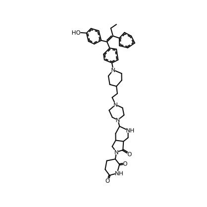 CC/C(=C(\c1ccc(O)cc1)c1ccc(N2CCC(CCN3CCN(C4CC5CN(C6CCC(=O)NC6=O)C(=O)C5CN4)CC3)CC2)cc1)c1ccccc1